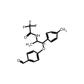 Cc1ccc([C@@H](Oc2ccc(C=O)cc2)C(C)NC(=O)C(F)(F)F)cc1